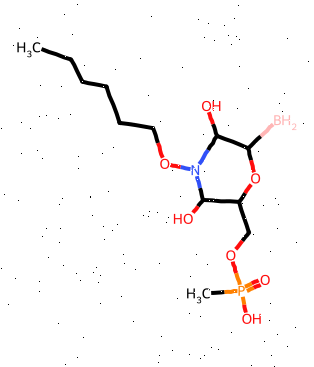 BC1OC(COP(C)(=O)O)C(O)N(OCCCCCC)C1O